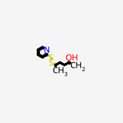 C=C(O)CCC(C)SSc1ccccn1